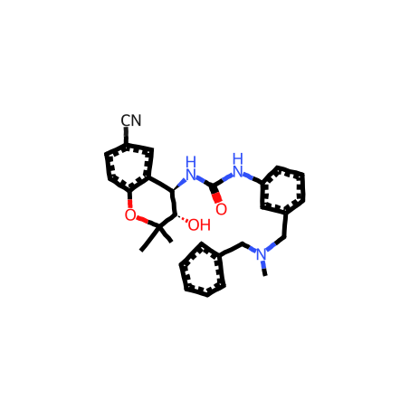 CN(Cc1ccccc1)Cc1cccc(NC(=O)N[C@@H]2c3cc(C#N)ccc3OC(C)(C)[C@H]2O)c1